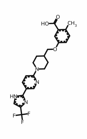 Cc1ccc(OCC2CCN(c3ccc(-c4nc(C(F)(F)F)c[nH]4)cn3)CC2)cc1C(=O)O